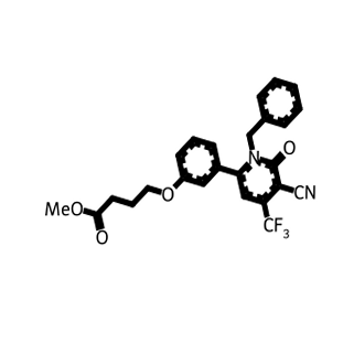 COC(=O)CCCOc1cccc(-c2cc(C(F)(F)F)c(C#N)c(=O)n2Cc2ccccc2)c1